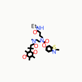 CCNC(=O)CCCN(CCN(C)C(=O)CC(C)(C)C1=C(C)C(=O)C(C)=C(C)C1=O)C(=O)Oc1ccc2nc(C)sc2c1